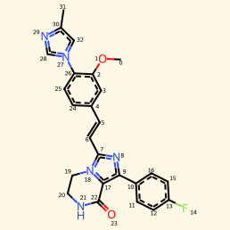 COc1cc(C=Cc2nc(-c3ccc(F)cc3)c3n2CCNC3=O)ccc1-n1cnc(C)c1